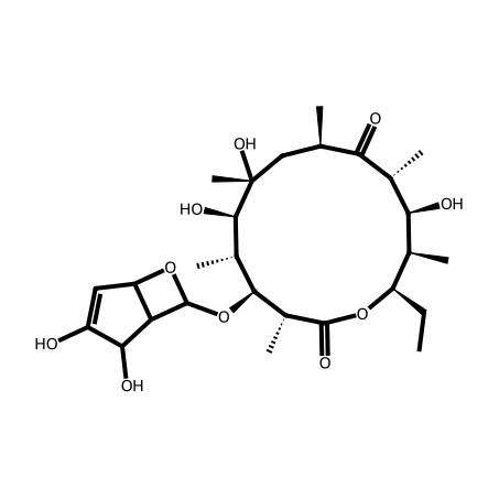 CC[C@H]1OC(=O)[C@H](C)[C@@H](OC2OC3C=C(O)C(O)C32)[C@H](C)[C@@H](O)[C@](C)(O)C[C@@H](C)C(=O)[C@H](C)[C@@H](O)[C@H]1C